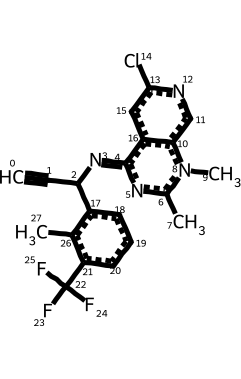 C#CC(/N=c1\nc(C)n(C)c2cnc(Cl)cc12)c1cccc(C(F)(F)F)c1C